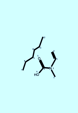 C=CN(C)C(=O)O.CCCCCC